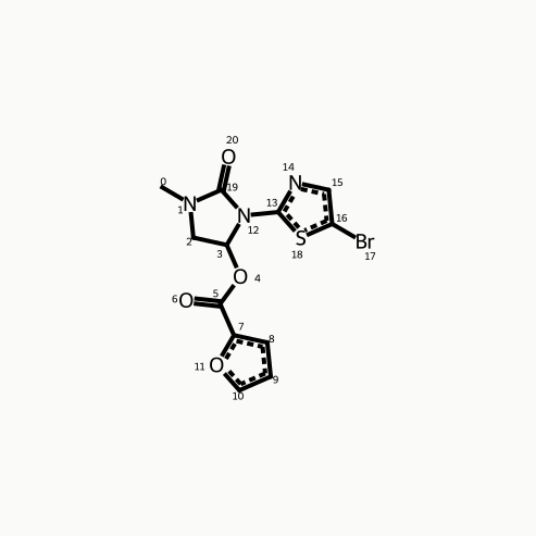 CN1CC(OC(=O)c2ccco2)N(c2ncc(Br)s2)C1=O